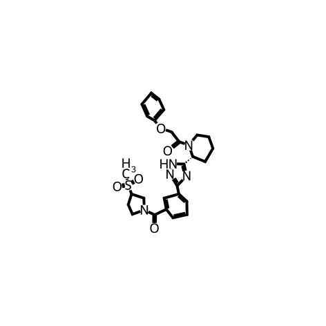 CS(=O)(=O)C1CCN(C(=O)c2cccc(-c3n[nH]c([C@H]4CCCCN4C(=O)COc4ccccc4)n3)c2)C1